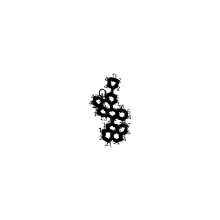 c1ccc(-c2ccc(-c3c4ccccc4c(-c4cc5cccc6ccc7cccc4c7c65)c4ccccc34)c3c2oc2ccccc23)cc1